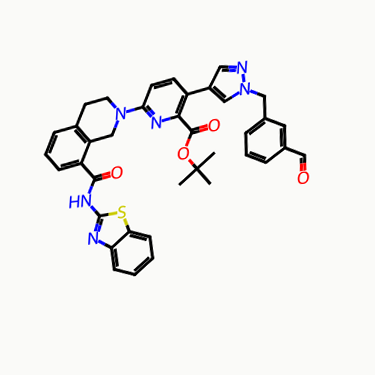 CC(C)(C)OC(=O)c1nc(N2CCc3cccc(C(=O)Nc4nc5ccccc5s4)c3C2)ccc1-c1cnn(Cc2cccc(C=O)c2)c1